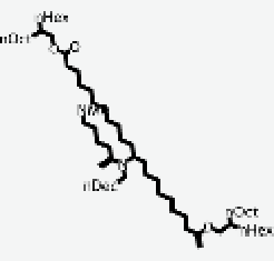 C=C(CCCCCCCCC(CCCCCCCCCCC(=O)OCC(CCCCCC)CCCCCCCC)N(CCCCCCCCCCC)C(=C)CCCCNC)OCC(CCCCCC)CCCCCCCC